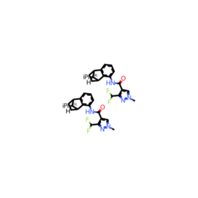 CC(C)[C@@H]1C2CCC1c1c(NC(=O)c3cn(C)nc3C(F)F)cccc12.CC(C)[C@H]1C2CCC1c1c(NC(=O)c3cn(C)nc3C(F)F)cccc12